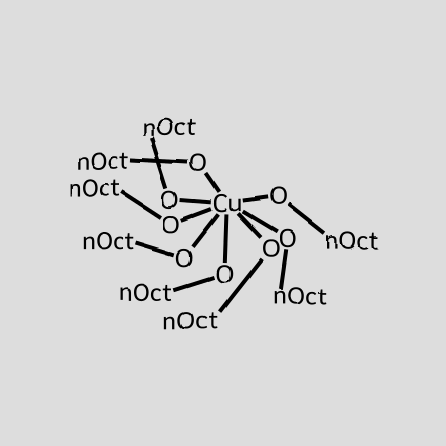 CCCCCCCC[O][Cu]([O]CCCCCCCC)([O]CCCCCCCC)([O]CCCCCCCC)([O]CCCCCCCC)([O]CCCCCCCC)([O]CCCCCCCC)[O]CCCCCCCC